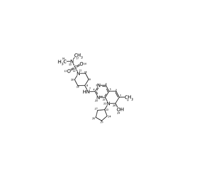 CC1=Cc2cnc(NC3CCN(S(=O)(=O)N(C)C)CC3)nc2N(C2CCCC2)C1O